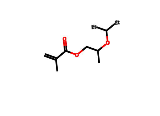 C=C(C)C(=O)OCC(C)OC(CC)CC